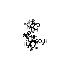 CC(NP(=O)(OC[C@H]1C(=O)C2CCN1CC2)Oc1ccccc1)C(=O)O